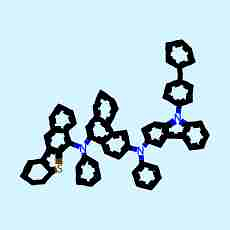 C1=Cc2c(sc3c(N(c4ccccc4)c4cc5ccccc5c5cc(N(c6ccccc6)c6ccc7c(c6)c6ccccc6n7-c6ccc(-c7ccccc7)cc6)ccc45)c4ccccc4cc23)CC1